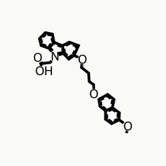 COc1ccc2cc(OCCCCOc3ccc4c5ccccc5n(CC(=O)O)c4c3)ccc2c1